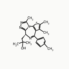 Cc1ccc(C2=N[C@@H](CC(C)(C)O)c3nnc(C)n3-c3sc(C)c(C)c32)cc1